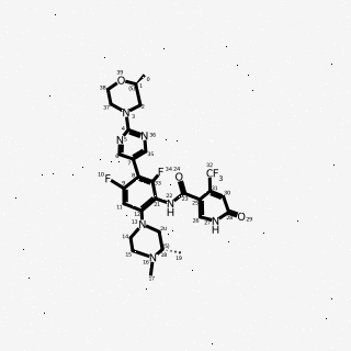 C[C@H]1CN(c2ncc(-c3c(F)cc(N4CCN(C)[C@@H](C)C4)c(NC(=O)c4c[nH]c(=O)cc4C(F)(F)F)c3F)cn2)CCO1